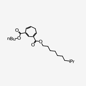 CCCCOC(=O)C1=CC(C(=O)OCCCCCCCC(C)C)=CCC=C1